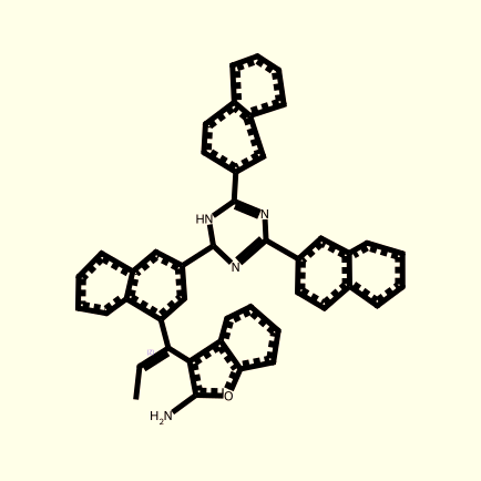 C/C=C(/c1cc(C2N=C(c3ccc4ccccc4c3)N=C(c3ccc4ccccc4c3)N2)cc2ccccc12)c1c(N)oc2ccccc12